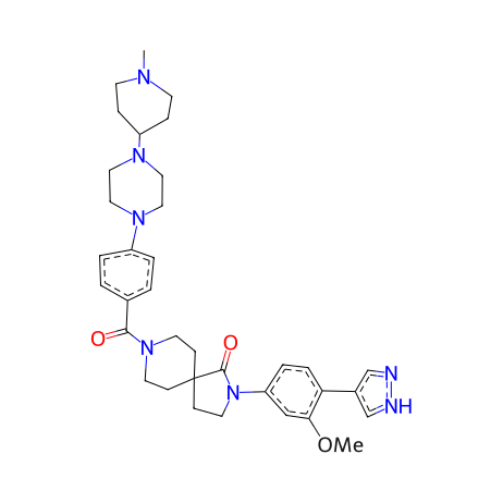 COc1cc(N2CCC3(CCN(C(=O)c4ccc(N5CCN(C6CCN(C)CC6)CC5)cc4)CC3)C2=O)ccc1-c1cn[nH]c1